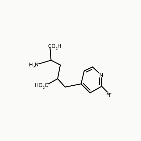 NC(CC(Cc1ccnc([18F])c1)C(=O)O)C(=O)O